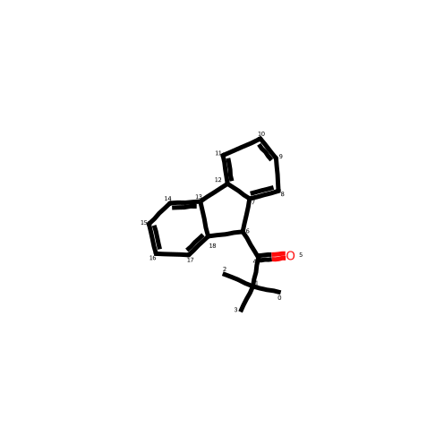 CC(C)(C)C(=O)C1c2ccccc2-c2ccccc21